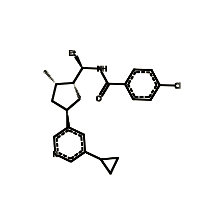 CC[C@@H](NC(=O)c1ccc(Cl)cc1)[C@@H]1C[C@@H](c2cncc(C3CC3)c2)C[C@@H]1C